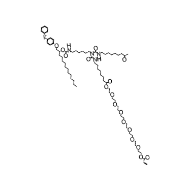 C=CC(=O)OCCOCCOCCOCCOCCOCCOCCOCCOC(=O)CCCCCCCNC(=O)N(CCCCCCNC(=O)OC(CCCCCCCCCCCC)COc1ccc([I+]c2ccccc2)cc1)C(=O)NCCCCCCCC(C)=O